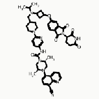 CC(C)N(CC1CCN(c2ccc(NC(=O)N3C[C@H](C)N(c4ccc(C#N)c5ncccc45)C[C@H]3C)cn2)CC1)C1CC(Oc2ccc3c(c2)C(=O)N(C2CCC(=O)NC2=O)C3=O)C1